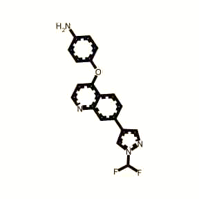 Nc1ccc(Oc2ccnc3cc(-c4cnn(C(F)F)c4)ccc23)cc1